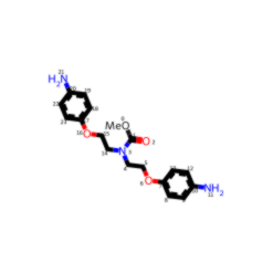 COC(=O)N(CCOc1ccc(N)cc1)CCOc1ccc(N)cc1